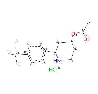 CC(=O)OC1CCNC(c2ccc(C(C)(C)C)cc2)C1.Cl